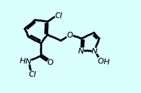 O=C(NCl)c1cccc(Cl)c1COc1ccn(O)n1